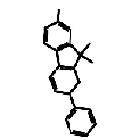 CC1(C)C2=C(C=CC(c3ccccc3)C2)c2ccc(I)cc21